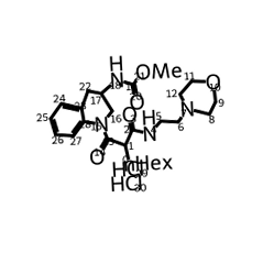 CCCCCCC(C(=O)NCCN1CCOCC1)C(=O)N1CC(NC(=O)OC)Cc2ccccc21.Cl.Cl